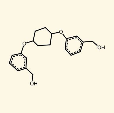 OCc1cccc(OC2CCC(Oc3cccc(CO)c3)CC2)c1